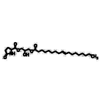 CCCCCCCCC=CCCCCCCCC(=O)OCC(O)COC(=O)C1CCC(=O)N1